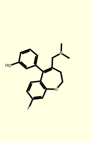 CN(C)CC1=C(c2cccc(O)c2)c2ccc(F)cc2OCC1